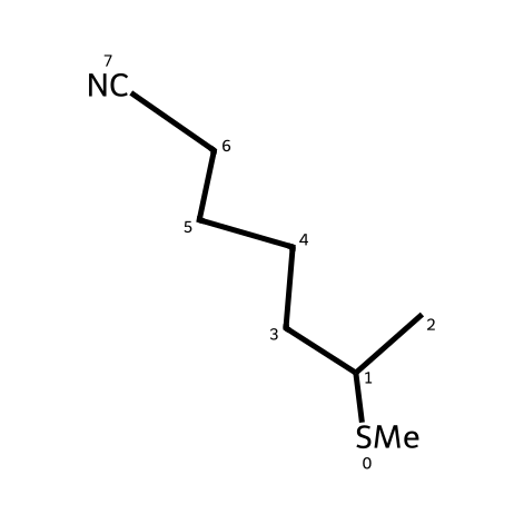 CSC(C)CCCCC#N